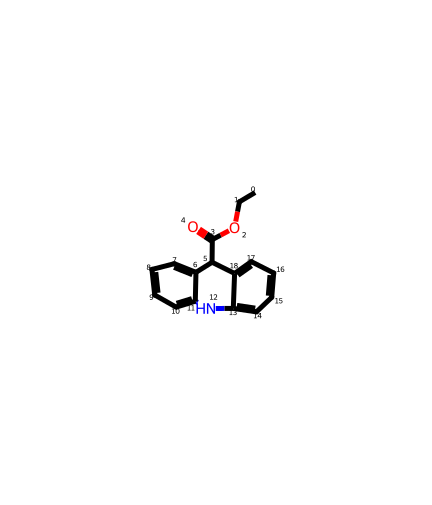 CCOC(=O)C1c2ccccc2Nc2ccccc21